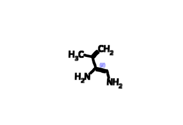 C=C(C)/C(N)=C/N